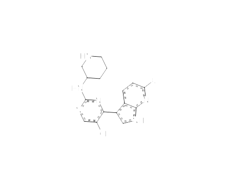 FC(F)(F)c1cnc(NC2CCCNC2)nc1-c1c[nH]c2nc(Cl)ccc12